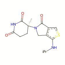 CC(C)Nc1scc2c1CN([C@@]1(C)CCC(=O)NC1=O)C2=O